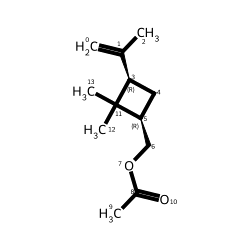 C=C(C)[C@H]1C[C@@H](COC(C)=O)C1(C)C